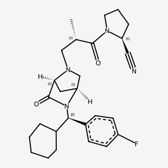 C[C@@H](CN1C[C@@H]2C[C@H]1C(=O)N2[C@@H](c1ccc(F)cc1)C1CCCCC1)C(=O)N1CCC[C@H]1C#N